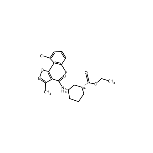 CCOC(=O)[C@@H]1CCC[C@H](NC(=O)c2c(C)noc2-c2c(F)cccc2Cl)C1